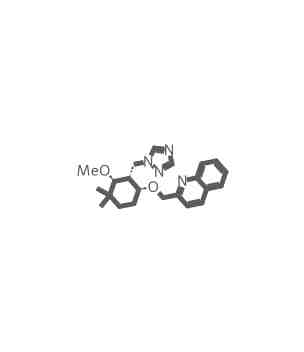 CO[C@@H]1[C@H](Cn2cncn2)[C@H](OCc2ccc3ccccc3n2)CCC1(C)C